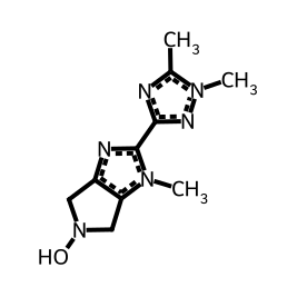 Cc1nc(-c2nc3c(n2C)CN(O)C3)nn1C